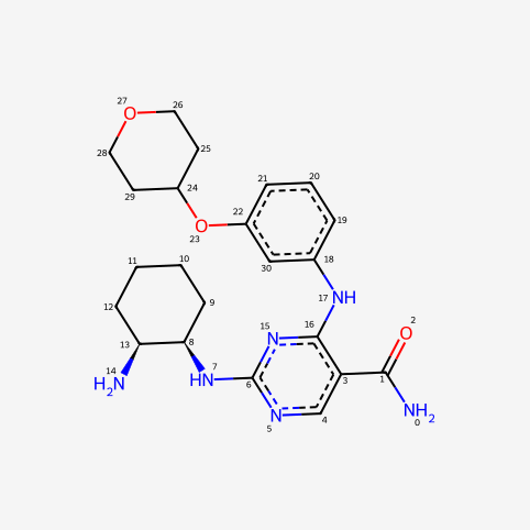 NC(=O)c1cnc(N[C@@H]2CCCC[C@@H]2N)nc1Nc1cccc(OC2CCOCC2)c1